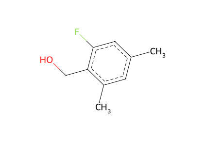 Cc1cc(C)c(CO)c(F)c1